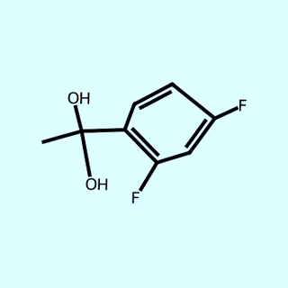 CC(O)(O)c1ccc(F)cc1F